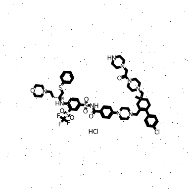 CC1(CN2CCN(C(=O)CN3CCNCC3)CC2)CCC(c2ccc(Cl)cc2)=C(CN2CCN(c3ccc(C(=O)NS(=O)(=O)c4ccc(N[C@H](CCN5CCOCC5)CSc5ccccc5)c(S(=O)(=O)C(F)(F)F)c4)cc3)CC2)C1.Cl